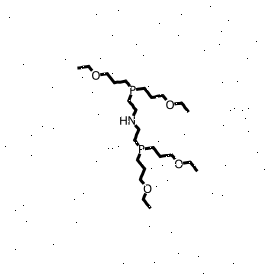 CCOCCCP(CCCOCC)CCNCCP(CCCOCC)CCCOCC